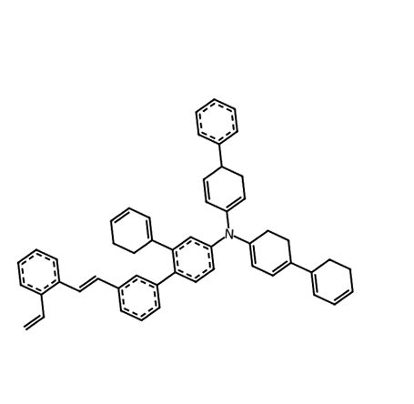 C=Cc1ccccc1/C=C/c1cccc(-c2ccc(N(C3=CCC(c4ccccc4)C=C3)C3=CC=C(C4=CC=CCC4)CC3)cc2C2=CC=CCC2)c1